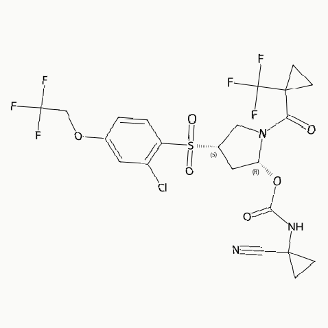 N#CC1(NC(=O)O[C@@H]2C[C@H](S(=O)(=O)c3ccc(OCC(F)(F)F)cc3Cl)CN2C(=O)C2(C(F)(F)F)CC2)CC1